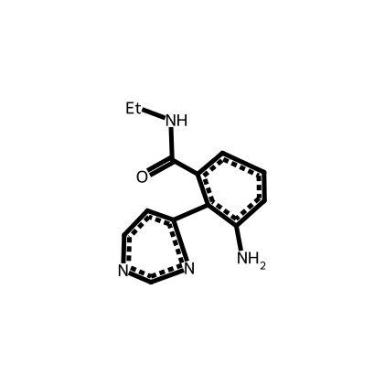 CCNC(=O)c1cccc(N)c1-c1ccncn1